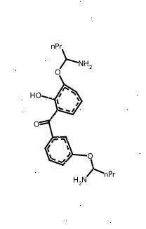 CCCC(N)Oc1cccc(C(=O)c2cccc(OC(N)CCC)c2O)c1